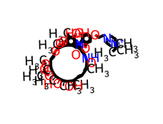 CO[C@H]1/C=C/O[C@@]2(C)Oc3c(C)c(O)c4c(=O)c(c5oc6cc(OCCN7CC[N+](C)(C(C)C)CC7)cc(O)c6nc-5c4c3C2=O)NC(=O)/C(C)=C\C=C\[C@H](C)[C@H](O)[C@@H](C)[C@@H](O)[C@@H](C)[C@H](OC(C)=O)[C@@H]1C